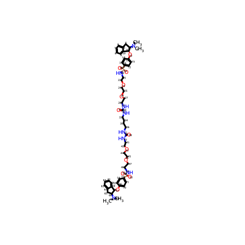 CN(C)C1Cc2ccccc2[C@@H]1Oc1ccc(S(=O)(=O)NCCOCCOCCNC(=O)NCCCCNC(=O)NCCOCCOCCNS(=O)(=O)c2ccc(O[C@H]3c4ccccc4CC3N(C)C)cc2)cc1